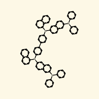 c1ccc(N(c2ccccc2)c2ccc3cc(N(c4ccc(-c5ccc(N(c6ccc7cc(N(c8ccccc8)c8ccccc8)ccc7c6)c6cccc7ccccc67)cc5)cc4)c4cccc5ccccc45)ccc3c2)cc1